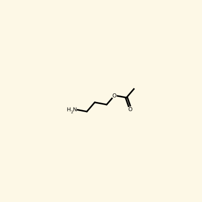 CC(=O)OCCCN